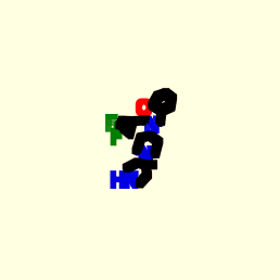 CC1(N2CCC(N(Cc3ccccc3)C(=O)C3CC(F)(F)C3)CC2)CCNCC1